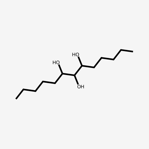 CCCCCC(O)C(O)C(O)CCCCC